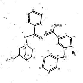 CC(=O)OC1C[N+]2(CC(=O)c3ccccc3)CCC1CC2.CNC(=O)c1cccc(Nc2ccccc2)c1.[Br-]